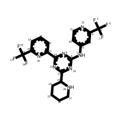 FC(F)(F)c1cc(Nc2nc(-c3cccc(C(F)(F)F)n3)nc(C3CCCCN3)n2)ccn1